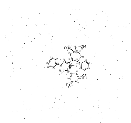 C[C@@H](OC[C@@]1(c2ccccc2)CC[C@](CO)([N+](=O)[O-])CN1C(=O)OCc1ccccc1)c1cc(C(F)(F)F)cc(C(F)(F)F)c1